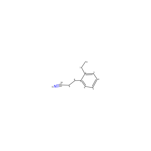 CCc1ccccc1CCC#N